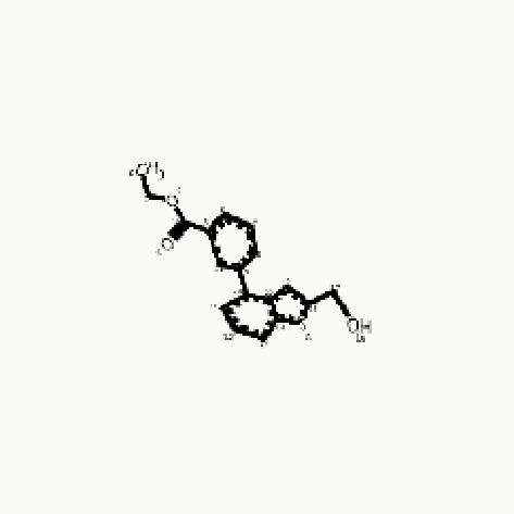 CCOC(=O)c1cccc(-c2cccc3sc(CO)cc23)c1